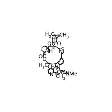 CNCCCn1c(-c2cccnc2[C@H](C)OC)c2c3cc(ccc31)C1CSC(=N1)C[C@H](NC(=O)[C@H]1[C@H](C)[C@@H]1C)C(=O)N1CCC[C@H](N1)C(=O)OCC(C)(C)C2